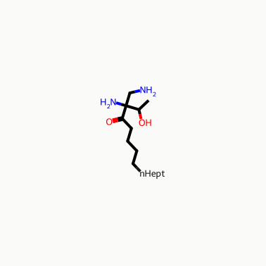 CCCCCCCCCCCC(=O)C(N)(CN)C(C)O